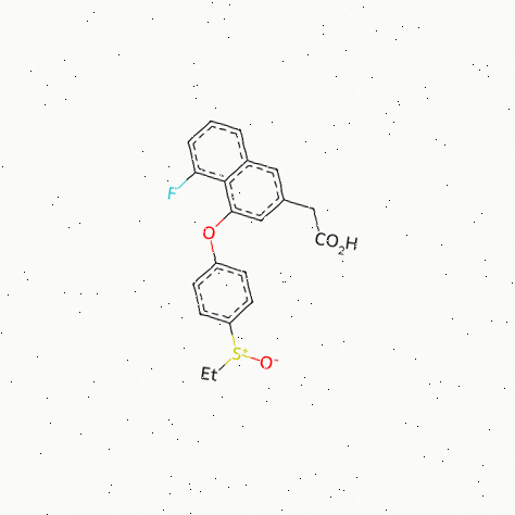 CC[S+]([O-])c1ccc(Oc2cc(CC(=O)O)cc3cccc(F)c23)cc1